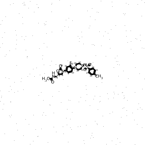 CC(=O)NC[C@H]1CN(c2ccc(N3CCS(=NS(=O)(=O)c4ccc(C)cc4)CC3)c(F)c2)C(=O)O1